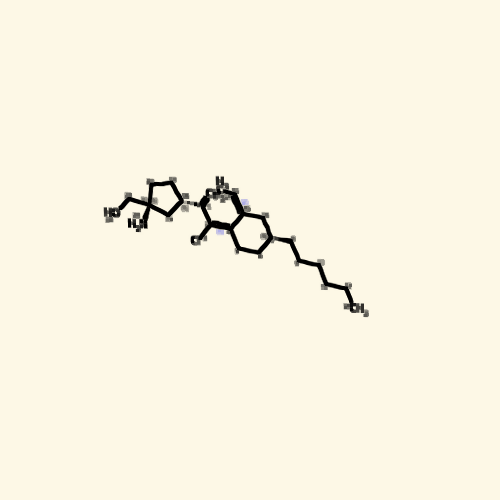 C=C(/C(Cl)=C1/CC[C@H](CCCCCC)C/C1=C/C)[C@H]1CC[C@@](N)(CO)C1